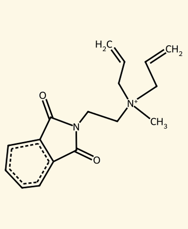 C=CC[N+](C)(CC=C)CCN1C(=O)c2ccccc2C1=O